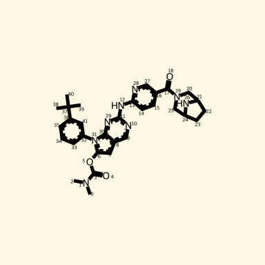 CN(C)C(=O)Oc1cc2cnc(Nc3ccc(C(=O)N4CC5CCC(C4)N5)cn3)nc2n1-c1cccc(C(C)(C)C)c1